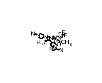 Cc1c(-c2cc(O[C@H](C)c3nncn3CC(F)(F)F)n3c(C#N)cnc3c2)nnn1C1CCN(C#N)CC1